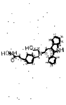 O=C(CCc1ccc(CN(CCO)CCc2c(-c3ccccc3)[nH]c3ccccc23)cc1)NO